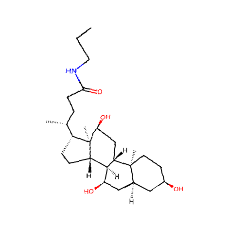 CCCNC(=O)CC[C@@H](C)[C@H]1CC[C@H]2[C@@H]3[C@H](O)C[C@@H]4C[C@H](O)CC[C@]4(C)[C@H]3C[C@H](O)[C@]12C